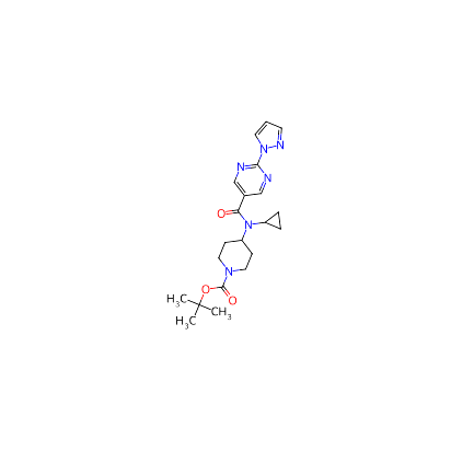 CC(C)(C)OC(=O)N1CCC(N(C(=O)c2cnc(-n3cccn3)nc2)C2CC2)CC1